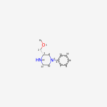 COC[C@@H]1CN(c2ccccc2)CCN1